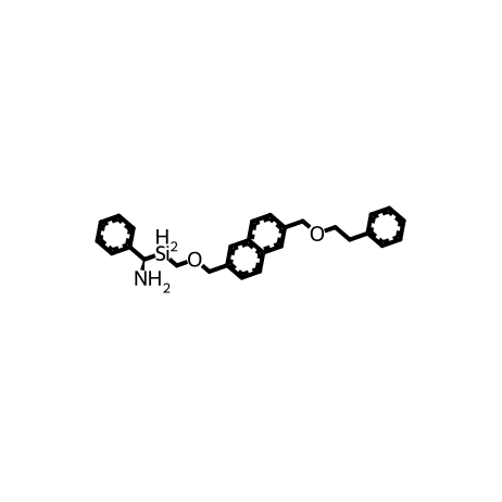 N[C@H]([SiH2]COCc1ccc2cc(COCCc3ccccc3)ccc2c1)c1ccccc1